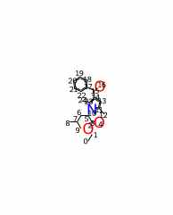 CCOC(=O)C(CC(C)C)n1c(C)cc(C(=O)c2ccccc2)c1C